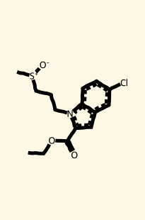 CCOC(=O)c1cc2cc(Cl)ccc2n1CCC[S+](C)[O-]